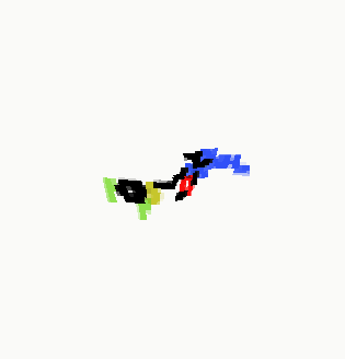 CCOCc1nc2c(N)ncc(C)c2n1CCCCCSc1ccc(F)cc1F